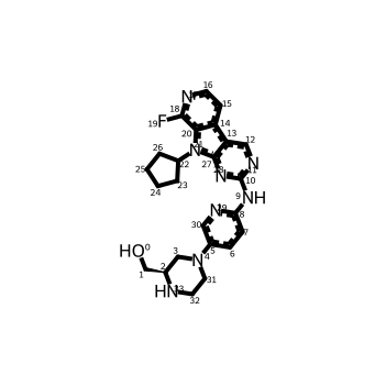 OC[C@H]1CN(c2ccc(Nc3ncc4c5ccnc(F)c5n(C5CCCC5)c4n3)nc2)CCN1